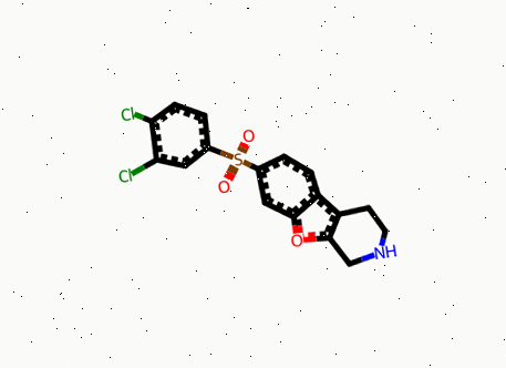 O=S(=O)(c1ccc(Cl)c(Cl)c1)c1ccc2c3c(oc2c1)CNCC3